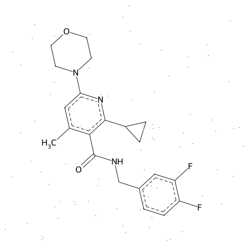 Cc1cc(N2CCOCC2)nc(C2CC2)c1C(=O)NCc1ccc(F)c(F)c1